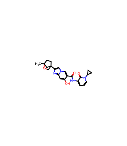 CC12CCC(c3cn4cc(C(=O)Nc5cccn(C6CC6)c5=O)c(O)cc4n3)(CO1)C2